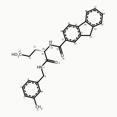 Cc1cccc(CNC(=O)[C@H](CCC(=O)O)NC(=O)c2ccc3c(c2)Cc2ccccc2-3)c1